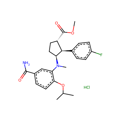 COC(=O)[C@H]1CC[C@H](N(C)c2cc(C(N)=O)ccc2OC(C)C)[C@@H]1c1ccc(F)cc1.Cl